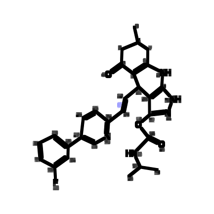 CC1CC(=O)C2=C(C1)Nc1[nH]nc(OC(=O)NC(C)C)c1C2/C=C/c1ccc(-c2cccc(F)c2)cn1